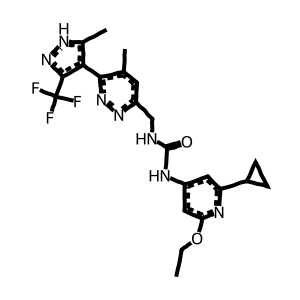 CCOc1cc(NC(=O)NCc2cc(C)c(-c3c(C(F)(F)F)n[nH]c3C)nn2)cc(C2CC2)n1